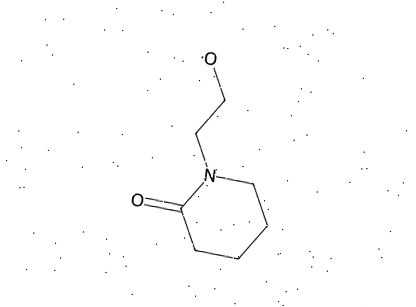 [O]CCN1CCCCC1=O